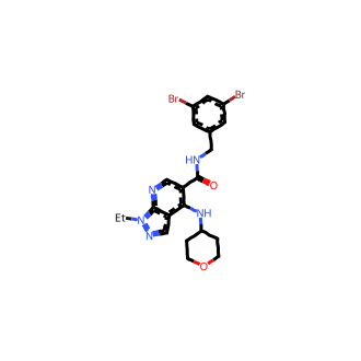 CCn1ncc2c(NC3CCOCC3)c(C(=O)NCc3cc(Br)cc(Br)c3)cnc21